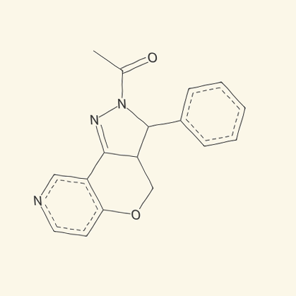 CC(=O)N1N=C2c3cnccc3OCC2C1c1ccccc1